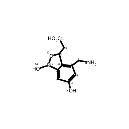 NCc1cc(O)cc2c1C(CC(=O)O)OB2O